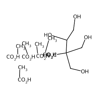 CC(=O)O.CC(=O)O.CC(=O)O.CC(=O)O.CC(=O)O.O=C(O)C(CO)(CO)C(O)CO